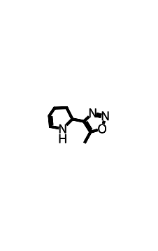 Cc1onnc1C1CCC=CN1